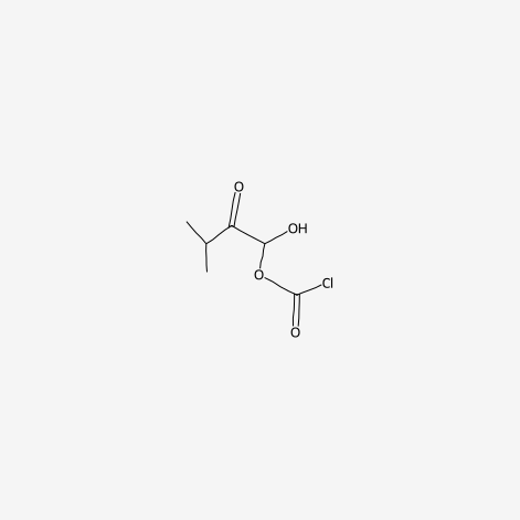 CC(C)C(=O)C(O)OC(=O)Cl